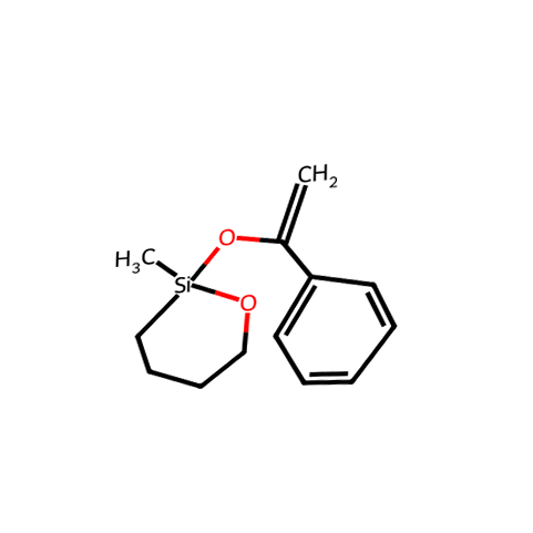 C=C(O[Si]1(C)CCCCO1)c1ccccc1